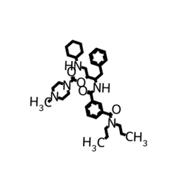 CCCN(CCC)C(=O)c1cccc(C(=O)NC(Cc2ccccc2)C(CNC2CCCCC2)OC(=O)N2CCN(C)CC2)c1